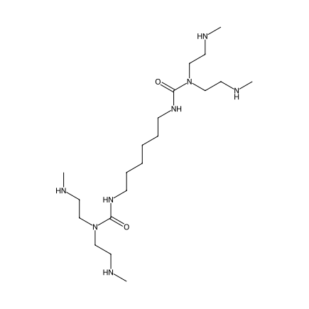 CNCCN(CCNC)C(=O)NCCCCCCNC(=O)N(CCNC)CCNC